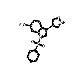 O=S(=O)(c1ccccc1)n1cc(-c2cn[nH]c2)c2ccc(C(F)(F)F)cc21